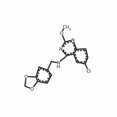 COc1nc(NCc2ccc3c(c2)OCO3)c2cc(Cl)ccc2n1